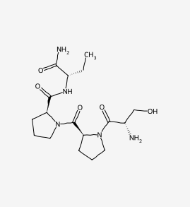 CC[C@H](NC(=O)[C@@H]1CCCN1C(=O)[C@@H]1CCCN1C(=O)[C@@H](N)CO)C(N)=O